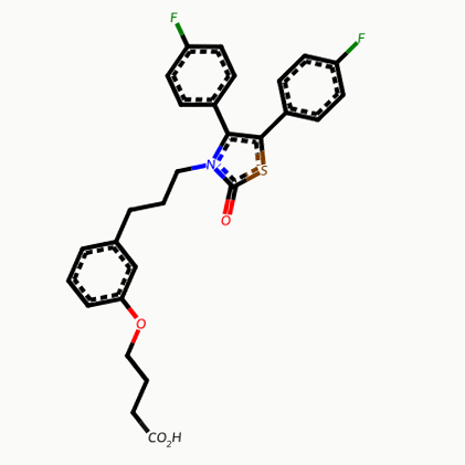 O=C(O)CCCOc1cccc(CCCn2c(-c3ccc(F)cc3)c(-c3ccc(F)cc3)sc2=O)c1